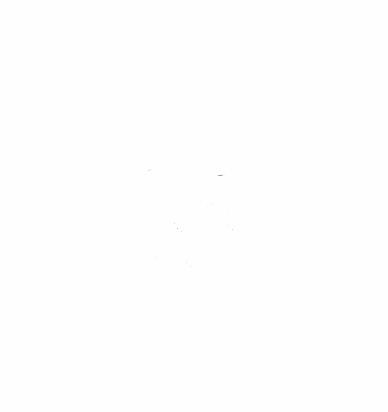 C#CCn1c(=O)n([C@@H]2O[C@H]([C@@H](O)CF)C[C@H]2O)c2nc(N)ncc21